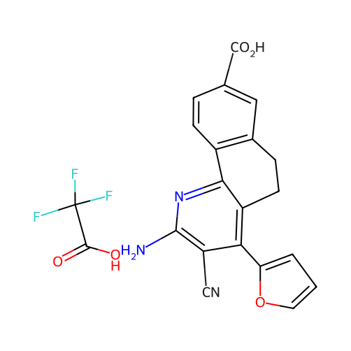 N#Cc1c(N)nc2c(c1-c1ccco1)CCc1cc(C(=O)O)ccc1-2.O=C(O)C(F)(F)F